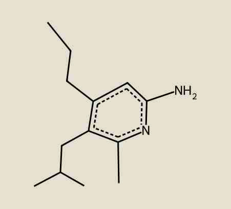 CCCc1cc(N)nc(C)c1CC(C)C